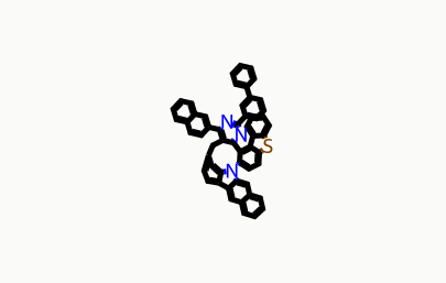 c1ccc(-c2cccc(-c3nc(-c4ccc5ccccc5c4)c4c(n3)-c3c(ccc5sc6ccccc6c35)-n3c5cc(ccc5c5cc6ccccc6cc53)C4)c2)cc1